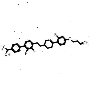 C=CCCOc1ccc(C2=CCC(CCc3ccc(-c4ccc(C(C)O)cc4)c(F)c3F)CC2)c(F)c1